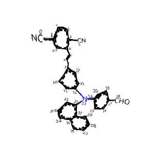 N#Cc1ccc(C#N)c(C=Cc2ccc(N(c3ccc(C=O)cc3)c3cccc4ccccc34)cc2)c1